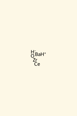 [BaH+].[Ce].[OH-].[Zr]